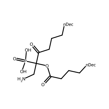 CCCCCCCCCCCCCC(=O)OC(CN)(C(=O)CCCCCCCCCCCCC)P(=O)(O)O